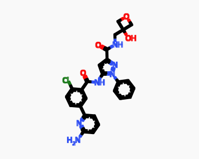 Nc1cccc(-c2ccc(Cl)c(C(=O)Nc3cc(C(=O)NCC4(O)COC4)nn3-c3ccccc3)c2)n1